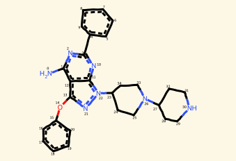 Nc1nc(-c2ccccc2)nc2c1c(Oc1ccccc1)nn2C1CCN(C2CCNCC2)CC1